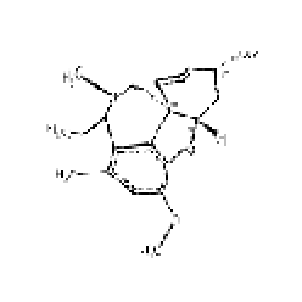 COc1cc(C)c2c3c1O[C@H]1C[C@@H](O)C=C[C@]31CCN(C)C2C